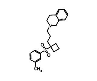 Cc1cccc(S(=O)(=O)C2(CCCN3CCc4ccccc4C3)CCC2)c1